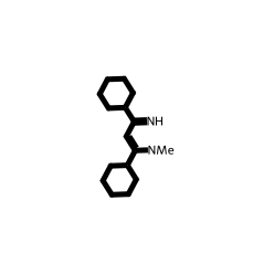 CN/C(=C\C(=N)C1CCCCC1)C1CCCCC1